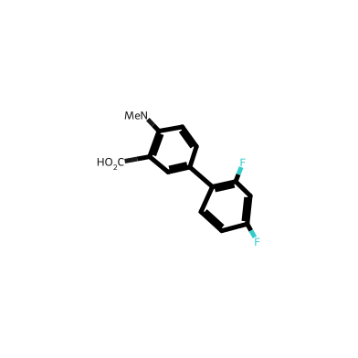 CNc1ccc(-c2ccc(F)cc2F)cc1C(=O)O